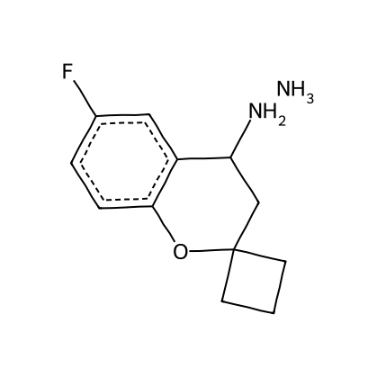 N.NC1CC2(CCC2)Oc2ccc(F)cc21